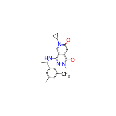 Cc1cc(C(C)Nc2nn(C)c(=O)c3cc(=O)n(C4CC4)cc23)cc(C(F)(F)F)c1